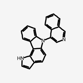 c1ccc2c(-n3c4ccccc4c4c5[nH]ccc5ccc43)cncc2c1